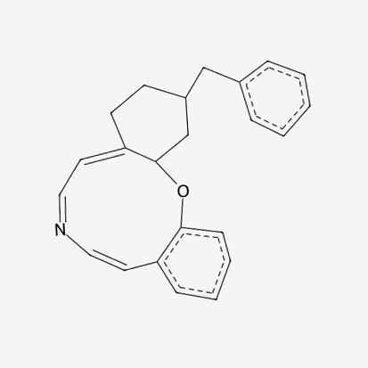 C1=Cc2ccccc2OC2CC(Cc3ccccc3)CCC2=CC=N1